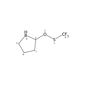 FC(F)(F)SOC1BCCC1